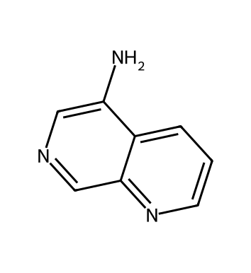 Nc1cncc2ncccc12